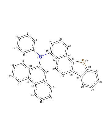 c1ccc(N(c2cc3ccccc3c3ccccc23)c2cccc3c2ccc2c4ccccc4sc32)cc1